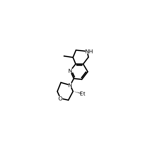 CC[C@@H]1COCCN1c1ccc2c(n1)C(C)CNC2